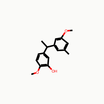 COc1cc(C)cc(C(C)c2ccc(OC)c(O)c2)c1